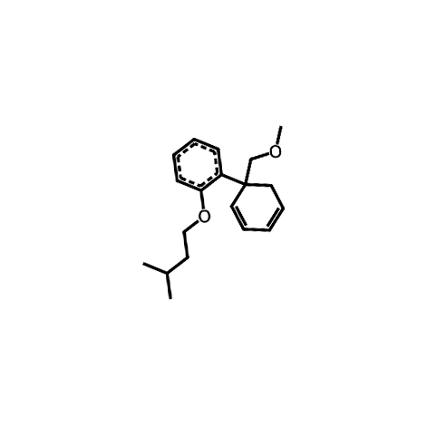 COCC1(c2ccccc2OCCC(C)C)C=CC=CC1